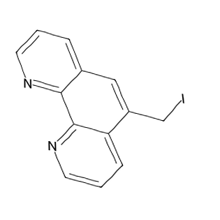 ICc1cc2cccnc2c2ncccc12